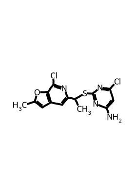 Cc1cc2cc(C(C)Sc3nc(N)cc(Cl)n3)nc(Cl)c2o1